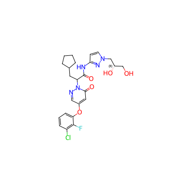 O=C(Nc1ccn(C[C@@H](O)CO)n1)C(CC1CCCC1)n1ncc(Oc2cccc(Cl)c2F)cc1=O